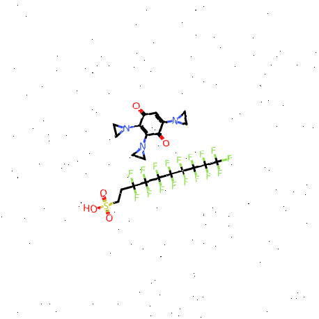 O=C1C=C(N2CC2)C(=O)C(N2CC2)=C1N1CC1.O=S(=O)(O)CCC(F)(F)C(F)(F)C(F)(F)C(F)(F)C(F)(F)C(F)(F)C(F)(F)C(F)(F)F